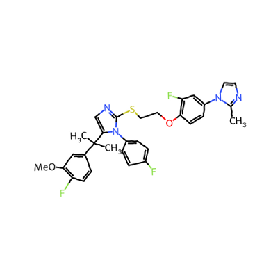 COc1cc(C(C)(C)c2cnc(SCCOc3ccc(-n4ccnc4C)cc3F)n2-c2ccc(F)cc2)ccc1F